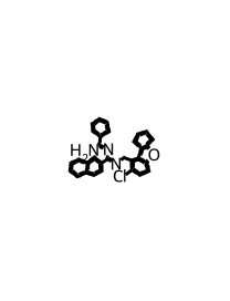 N/C(=N\C(=N/Cc1c(Cl)ccc2oc3ccccc3c12)c1ccc2ccccc2c1)c1ccccc1